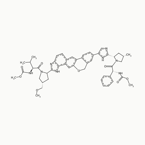 COC[C@H]1CC(c2nc3ccc4cc5c(cc4c3[nH]2)OCc2cc(-c3cnc([C@@H]4C[C@H](C)CN4C(=O)[C@H](NC(=O)OC)c4ccccc4)[nH]3)ccc2-5)N(C(=O)[C@@H](NC(=O)OC)C(C)C)C1